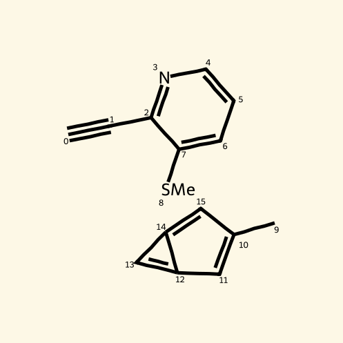 C#Cc1ncccc1SC.Cc1cc2cc-2c1